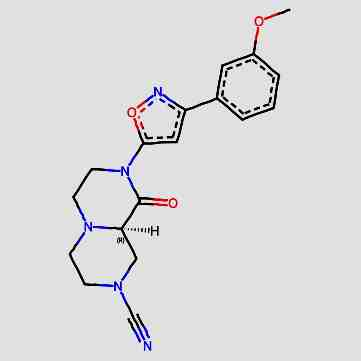 COc1cccc(-c2cc(N3CCN4CCN(C#N)C[C@@H]4C3=O)on2)c1